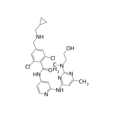 Cc1cc(Nc2cc(NC(=O)c3c(Cl)cc(CNCC4CC4)cc3Cl)ccn2)nc(N(C)CCO)n1